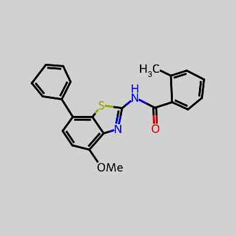 COc1ccc(-c2ccccc2)c2sc(NC(=O)c3ccccc3C)nc12